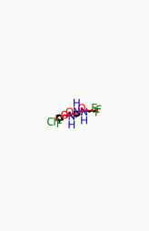 O=C(COc1ccc(Cl)c(F)c1)N[C@H]1CC[C@H](C(=O)NCCCCC(F)(F)F)NC1